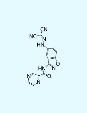 N#CC(C#N)=NNc1ccc2onc(NC(=O)c3cnccn3)c2c1